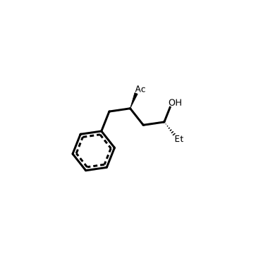 CC[C@@H](O)C[C@@H](Cc1ccccc1)C(C)=O